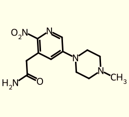 CN1CCN(c2cnc([N+](=O)[O-])c(CC(N)=O)c2)CC1